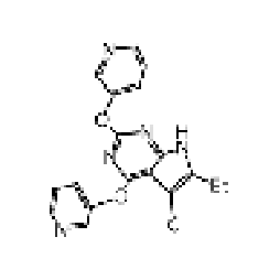 CCc1[nH]c2nc(Oc3cccnc3)nc(Oc3cccnc3)c2c1Cl